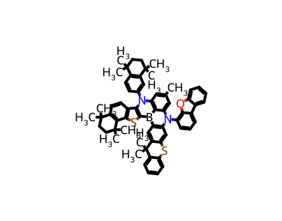 Cc1cc2c3c(c1)N(c1cccc4c1oc1ccccc14)c1cc4c(cc1B3c1sc3c5c(ccc3c1N2c1ccc2c(c1)C(C)(C)CCC2(C)C)C(C)(C)CCC5(C)C)C(C)(C)c1ccccc1S4